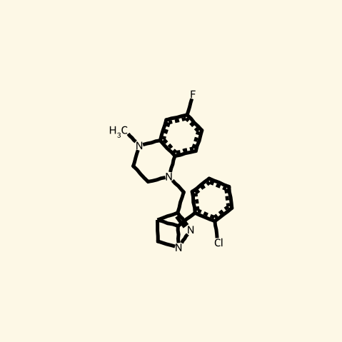 CN1CCN(CC2=NN3CC2C3c2ccccc2Cl)c2ccc(F)cc21